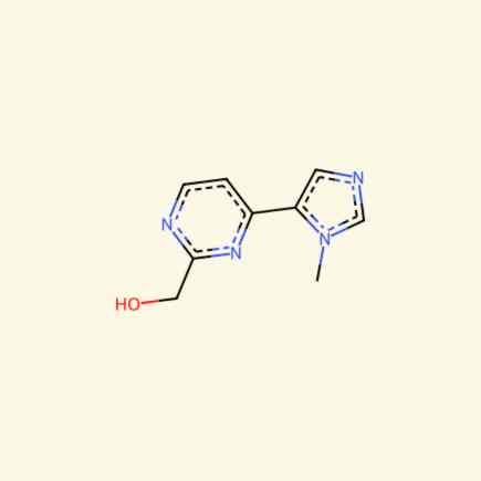 Cn1cncc1-c1ccnc(CO)n1